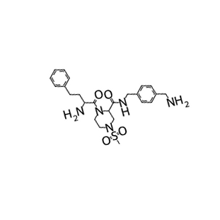 CS(=O)(=O)N1CCN(C(=O)C(N)CCc2ccccc2)C(C(=O)NCc2ccc(CN)cc2)C1